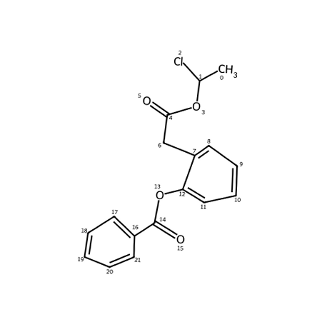 CC(Cl)OC(=O)Cc1ccccc1OC(=O)c1ccccc1